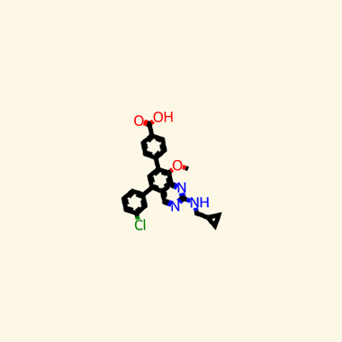 COc1c(-c2ccc(C(=O)O)cc2)cc(-c2cccc(Cl)c2)c2cnc(NCC3CC3)nc12